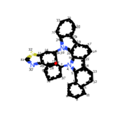 c1ccc(-n2c3c4ccccc4ccc3c3ccc4c5ccccc5n(-c5ccc6ncsc6c5)c4c32)cc1